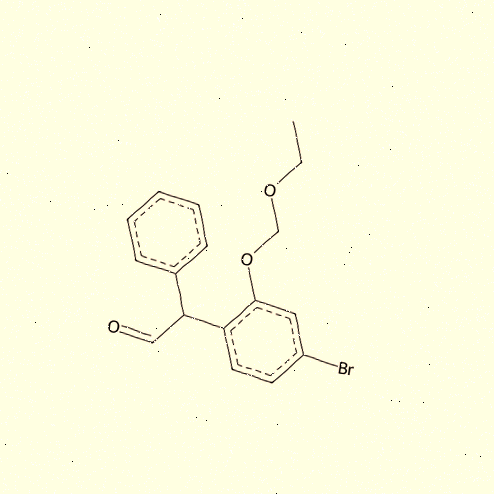 CCOCOc1cc(Br)ccc1C(C=O)c1ccccc1